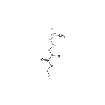 CCOC(=O)C(O)COC[C@H](C)N